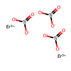 [Er+3].[Er+3].[O]=[Ti]([O-])[O-].[O]=[Ti]([O-])[O-].[O]=[Ti]([O-])[O-]